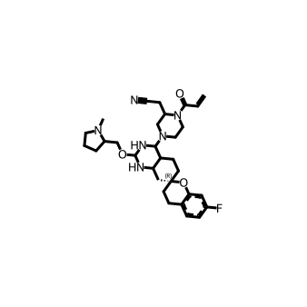 C=CC(=O)N1CCN(C2NC(OCC3CCCN3C)NC3C[C@]4(CCc5ccc(F)cc5O4)CCC32)CC1CC#N